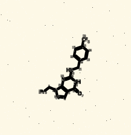 CC(C)Cn1ncc2c(=O)[nH]c(NCc3ccc(C(F)(F)F)cc3)nc21